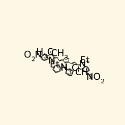 CCN1C(=CC=C2CCC(C=CC3=[N+](CC)c4ccc([N+](=O)[O-])cc4C3(C)C)=C2N(c2ccccc2)c2ccccc2)C(C)(C)c2cc([N+](=O)[O-])ccc21